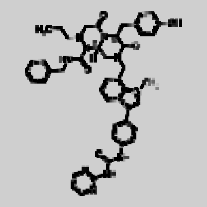 C=CCN1CC(=O)N2[C@@H](Cc3ccc(O)cc3)C(=O)N(Cc3cccc4c(-c5ccc(NC(=O)Nc6ncccn6)cc5)cn(C)c34)C[C@@H]2N1C(=O)NCc1ccccc1